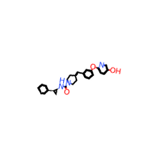 O=C(N[C@@H]1C[C@H]1c1ccccc1)N1CCC(=Cc2cccc(Oc3ccc(O)cn3)c2)CC1